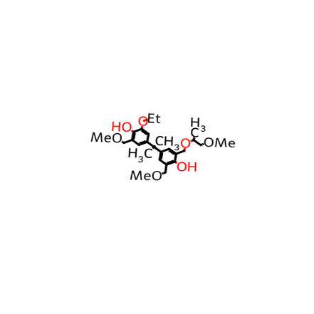 CCOc1cc(C(C)(C)c2cc(COC)c(O)c(COC(C)COC)c2)cc(COC)c1O